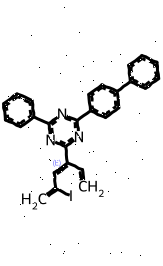 C=C/C(=C\C(=C)I)c1nc(-c2ccccc2)nc(-c2ccc(-c3ccccc3)cc2)n1